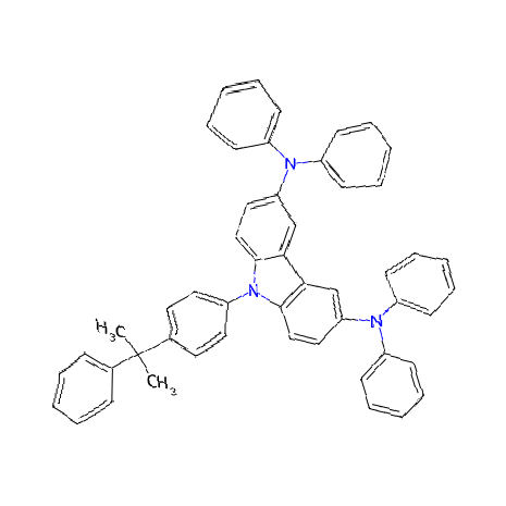 CC(C)(c1ccccc1)c1ccc(-n2c3ccc(N(c4ccccc4)c4ccccc4)cc3c3cc(N(c4ccccc4)c4ccccc4)ccc32)cc1